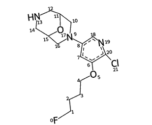 FCCCCOc1cc(N2CC3CNCC(C2)O3)cnc1Cl